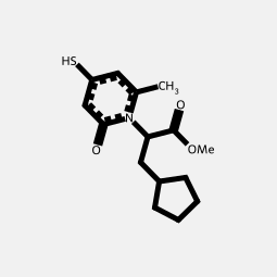 COC(=O)C(CC1CCCC1)n1c(C)cc(S)cc1=O